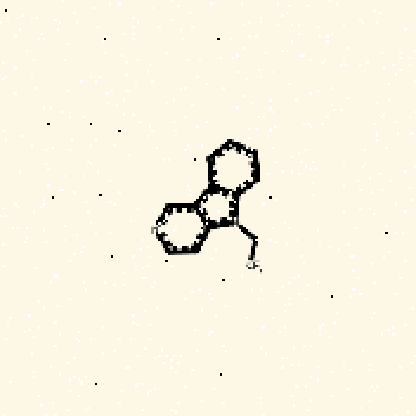 FC(F)(F)Cn1c2ccccc2c2cnccc21